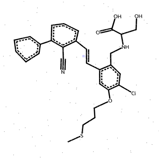 CSCCCOc1cc(/C=C/c2cccc(-c3ccccc3)c2C#N)c(CNC(CO)C(=O)O)cc1Cl